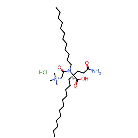 CCCCCCCCCCCCN(C(=O)C[N+](C)(C)C)[C@](CCCCCCCCCCCC)(CCC(N)=O)C(=O)O.Cl